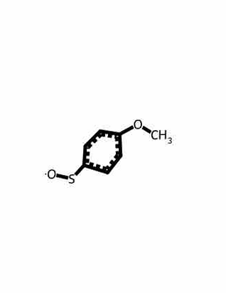 COc1ccc(S[O])cc1